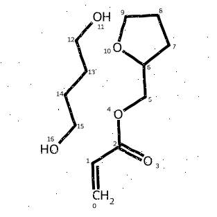 C=CC(=O)OCC1CCCO1.OCCCCO